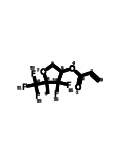 C=CC(=O)OC1COC(C)(C(F)(F)F)C1(F)F